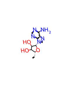 C=C[C@H]1O[C@@H](n2cnc3c(N)ncnc32)C(O)C1O